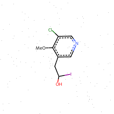 COc1c(Cl)cncc1CC(O)I